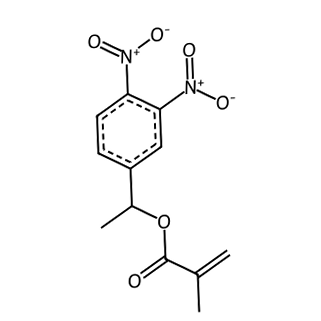 C=C(C)C(=O)OC(C)c1ccc([N+](=O)[O-])c([N+](=O)[O-])c1